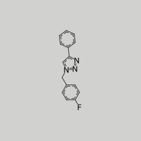 Fc1ccc(Cn2cc(-c3ccccc3)nn2)cc1